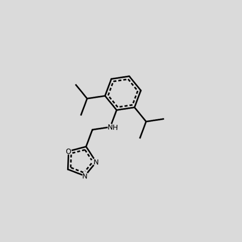 CC(C)c1cccc(C(C)C)c1NCc1nnco1